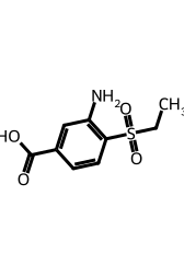 CCS(=O)(=O)c1ccc(C(=O)O)cc1N